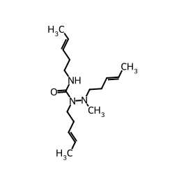 C/C=C/CCNC(=O)N(CC/C=C/C)N(C)CC/C=C/C